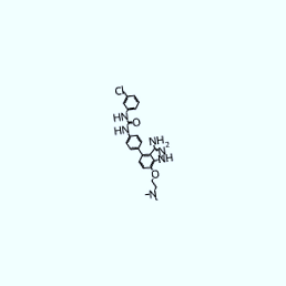 CN(C)CCOc1ccc(-c2ccc(NC(=O)Nc3cccc(Cl)c3)cc2)c2c(N)n[nH]c12